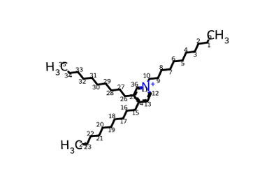 CCCCCCCCCCC[n+]1ccc(CCCCCCCCCC)c(CCCCCCCCCC)c1